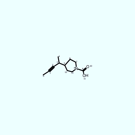 CC#CC(C)C1CCN(C(=O)O)CC1